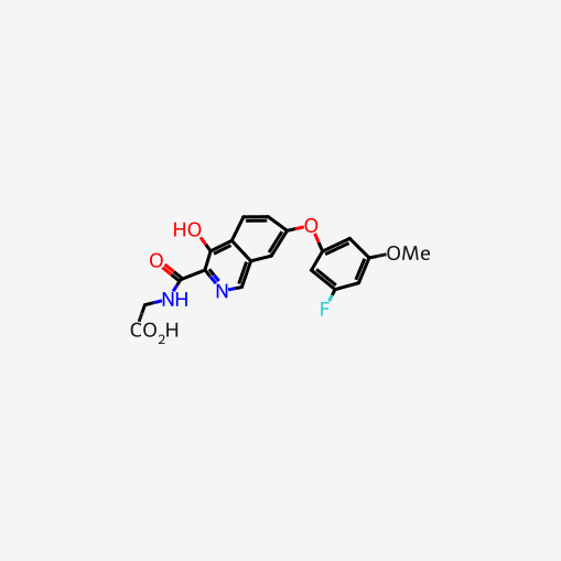 COc1cc(F)cc(Oc2ccc3c(O)c(C(=O)NCC(=O)O)ncc3c2)c1